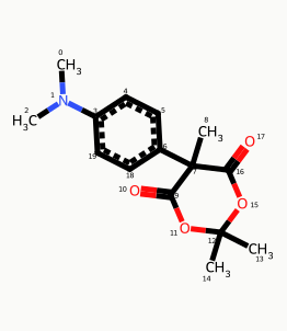 CN(C)c1ccc(C2(C)C(=O)OC(C)(C)OC2=O)cc1